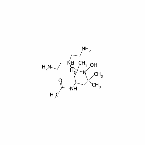 CC(=O)NC1CC(C)(C)N(O)C(C)(C)C1.NCCNCCN